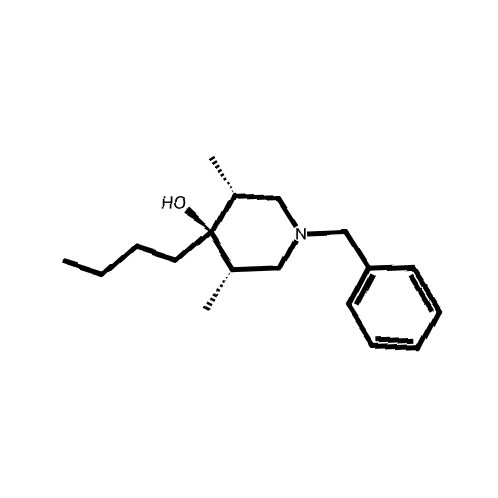 CCCC[C@]1(O)[C@H](C)CN(Cc2ccccc2)C[C@@H]1C